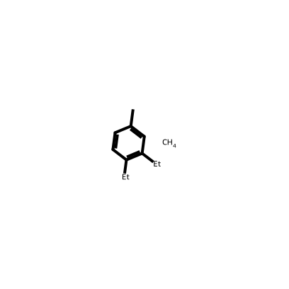 C.CCc1ccc(C)cc1CC